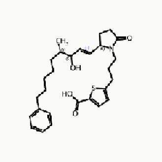 C[C@H](CCCCCc1ccccc1)[C@H](O)/C=C/[C@H]1CCC(=O)N1CCCc1ccc(C(=O)O)s1